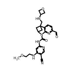 COCCNc1cc(NC(=O)N2c3nc(C=O)ccc3C3(CNC4COC4)CC2C3)ncc1C#N